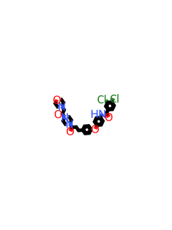 O=C(Nc1ccc(Oc2ccc(CCC(=O)N3CCN(C(=O)CN4CCOCC4)CC3)cc2)cc1)c1ccc(Cl)c(Cl)c1